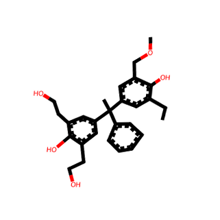 CCc1cc(C(C)(c2ccccc2)c2cc(CCO)c(O)c(CCO)c2)cc(COC)c1O